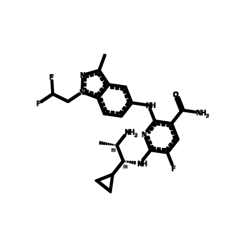 Cc1nn(CC(F)F)c2ccc(Nc3nc(N[C@H](C4CC4)[C@H](C)N)c(F)cc3C(N)=O)cc12